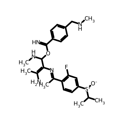 CNCc1ccc(C(=N)OC(NC)C(/N=C(\C)c2ccc([S+]([O-])C(C)C)cc2F)=C(\C)N)cc1